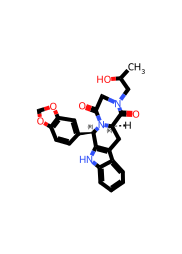 CC(O)CN1CC(=O)N2[C@H](c3ccc4c(c3)OCO4)c3[nH]c4ccccc4c3C[C@@H]2C1=O